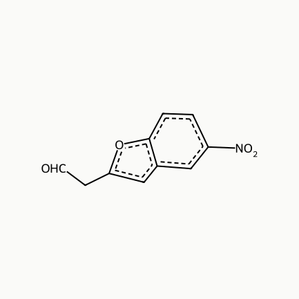 O=CCc1cc2cc([N+](=O)[O-])ccc2o1